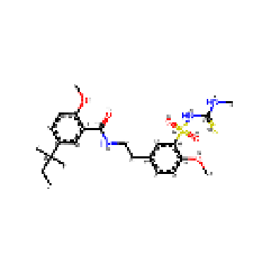 CCC(C)(C)c1ccc(OC)c(C(=O)NCCc2ccc(OC)c(S(=O)(=O)NC(=S)NC)c2)c1